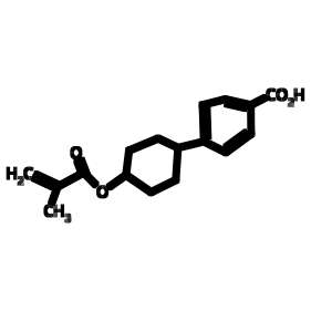 C=C(C)C(=O)OC1CCC(c2ccc(C(=O)O)cc2)CC1